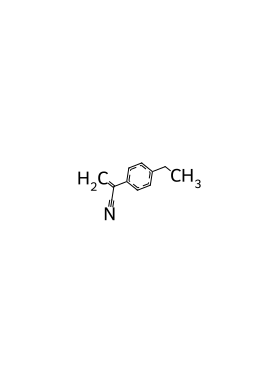 C=C(C#N)c1ccc(CC)cc1